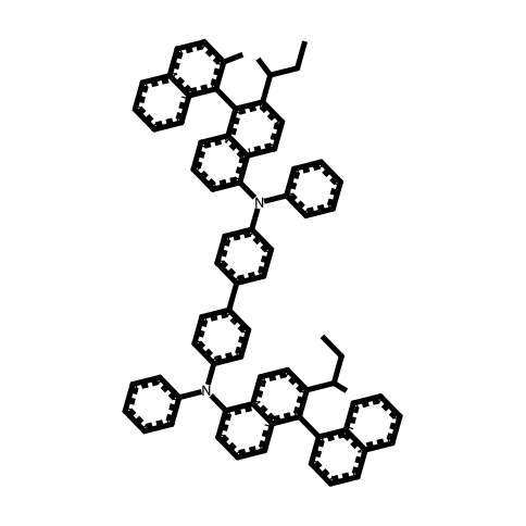 CCC(C)c1ccc2c(N(c3ccccc3)c3ccc(-c4ccc(N(c5ccccc5)c5cccc6c(-c7c(C)ccc8ccccc78)c(C(C)CC)ccc56)cc4)cc3)cccc2c1-c1cccc2ccccc12